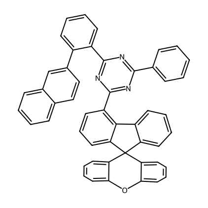 c1ccc(-c2nc(-c3ccccc3-c3ccc4ccccc4c3)nc(-c3cccc4c3-c3ccccc3C43c4ccccc4Oc4ccccc43)n2)cc1